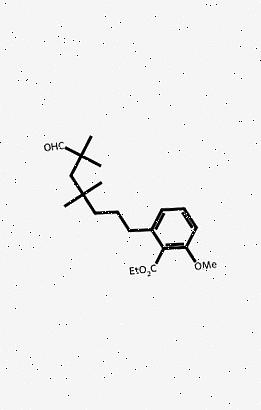 CCOC(=O)c1c(CCCC(C)(C)CC(C)(C)C=O)cccc1OC